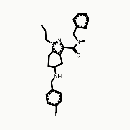 CCCn1nc(C(=O)N(C)Cc2ccccc2)c2c1CCC(NCc1ccc(F)cc1)C2